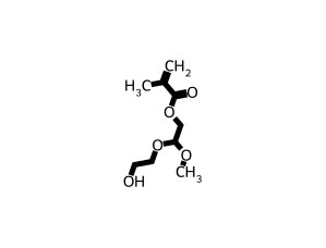 C=C(C)C(=O)OCC(OC)OCCO